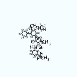 COc1c(Cn2ccnc2)cc(N2N=C(C)C(C(=O)Nc3cccc(C(C)(F)F)c3)C2=O)cc1-c1ccccc1